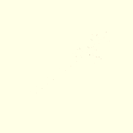 CCCCCCCCCCCCCCCCCCCc1ccnc(-c2cc(C(=O)O)cc(-c3cc(C(=O)O)ccn3)n2)c1